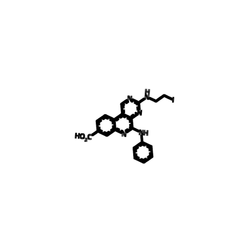 O=C(O)c1ccc2c(c1)nc(Nc1ccccc1)c1nc(NCCI)ncc12